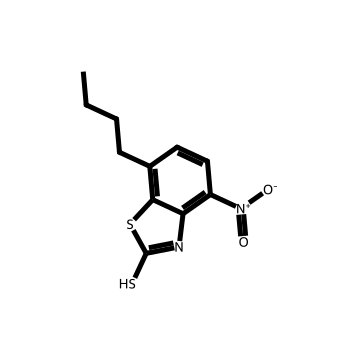 CCCCc1ccc([N+](=O)[O-])c2nc(S)sc12